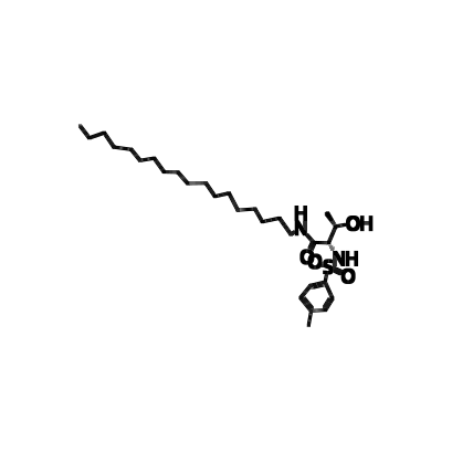 CCCCCCCCCCCCCCCCCCNC(=O)[C@@H](NS(=O)(=O)c1ccc(C)cc1)[C@@H](C)O